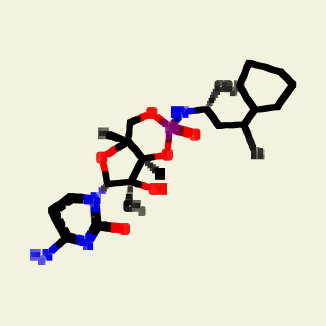 CCC(C[C@H](NP1(=O)OC[C@H]2O[C@@H](n3ccc(N)nc3=O)[C@](C)(O)[C@@H]2O1)C(=O)O)C1CCCCC1